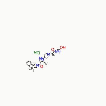 Cl.O=C(c1cnn(C2CCN(CC3(C(=O)NCCO)CC3)CC2)c1C1CC1)N1CC[C@@H](c2ccccc2C(F)(F)F)C1